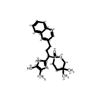 Cc1nc(C(CCc2cnc3ccccc3c2)P2(=O)CCC(C)(C)CO2)[nH]c1O